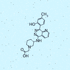 Cc1ccc(-c2nnc(NC3CCCN(CC(=O)O)C3)c3cccnc23)c(O)c1